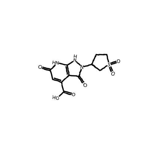 O=C(O)c1cc(=O)[nH]c2[nH]n(C3CCS(=O)(=O)C3)c(=O)c12